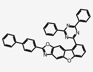 c1ccc(-c2ccc(-c3nc4cc5oc6cccc(-c7nc(-c8ccccc8)nc(-c8ccccc8)n7)c6c5cc4o3)cc2)cc1